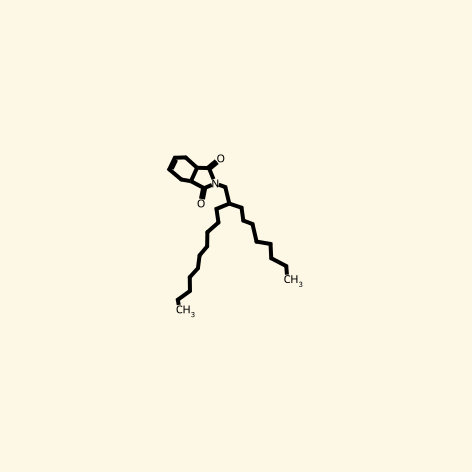 CCCCCCCCCCC(CCCCCCCC)CN1C(=O)C2CC=CCC2C1=O